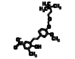 COc1cc(/C=C/c2cc([N+](=O)[O-])cc(C)c2O)ccc1OCOCC[Si](C)(C)C